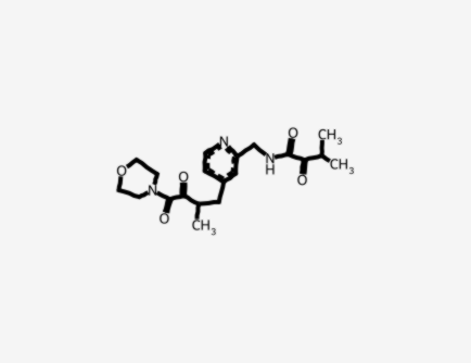 CC(C)C(=O)C(=O)NCc1cc(CC(C)C(=O)C(=O)N2CCOCC2)ccn1